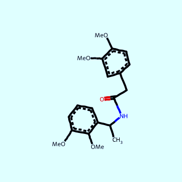 COc1ccc(CC(=O)NC(C)c2cccc(OC)c2OC)cc1OC